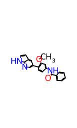 COc1cc(NC(=O)c2ccccc2)ccc1-c1cnc2[nH]ccc2c1